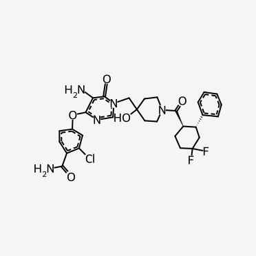 NC(=O)c1ccc(Oc2ncn(CC3(O)CCN(C(=O)[C@@H]4CCC(F)(F)C[C@H]4c4ccccc4)CC3)c(=O)c2N)cc1Cl